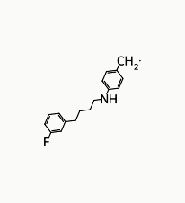 [CH2]c1ccc(NCCCCc2cccc(F)c2)cc1